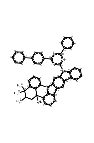 CC1CC2(C)c3c(cccc3C1(C)C)-n1c3cc4c(cc3c3cccc2c31)c1ccccc1n4-c1nc(-c2ccccc2)nc(-c2ccc(-c3ccccc3)cc2)n1